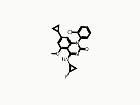 COc1cc(C2CC2)cc2c1c(N[C@H]1C[C@H]1F)nc(=O)n2-c1ccccc1Cl